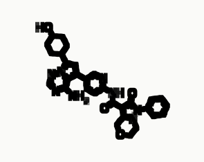 Nc1ncnn2c(C3CCC(O)CC3)cc(-c3ccc(NC(=O)c4c5n(n(-c6ccccc6)c4=O)CCOC5)nc3)c12